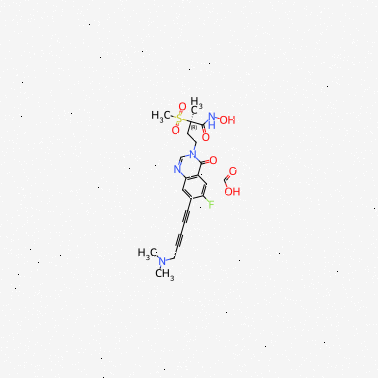 CN(C)CC#CC#Cc1cc2ncn(CC[C@](C)(C(=O)NO)S(C)(=O)=O)c(=O)c2cc1F.O=CO